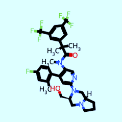 Cc1cc(F)ccc1-c1cc(N2C[C@@H]3CCCN3C[C@H]2CO)ncc1N(C)C(=O)C(C)(C)c1cc(C(F)(F)F)cc(C(F)(F)F)c1